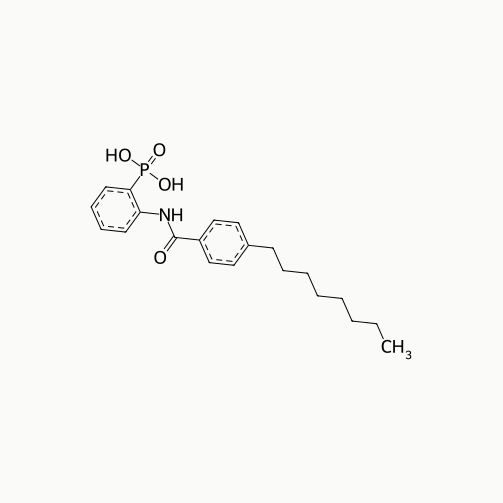 CCCCCCCCc1ccc(C(=O)Nc2ccccc2P(=O)(O)O)cc1